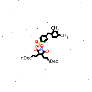 CCCCCCCCCCCCC1=C(CCCCCCCCCCCC)C(=O)N(OS(=O)(=O)c2ccc(Cc3ccc(C)cc3C)cc2)C1=O